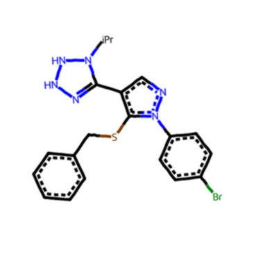 CC(C)N1NNN=C1c1cnn(-c2ccc(Br)cc2)c1SCc1ccccc1